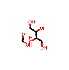 O=CO.OCC(O)C(O)CO